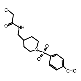 O=Cc1ccc(S(=O)(=O)N2CCC(CNC(=O)CCl)CC2)cc1